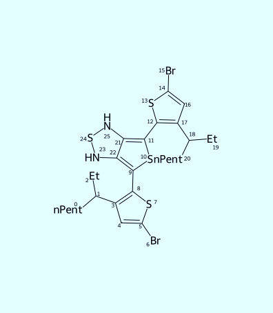 CCCCCC(CC)c1cc(Br)sc1-c1sc(-c2sc(Br)cc2C(CC)CCCCC)c2c1NSN2